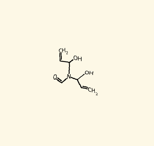 C=CC(O)N(C=O)C(O)C=C